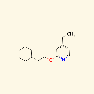 CCc1ccnc(OCCC2CCCCC2)c1